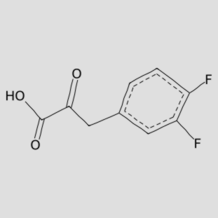 O=C(O)C(=O)Cc1ccc(F)c(F)c1